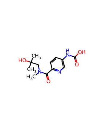 CN(CC(C)(C)O)C(=O)c1ccc(NC(=O)O)cn1